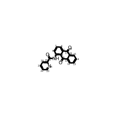 O=C(Nc1cccc2c1C(=O)c1ccccc1C2=O)c1ccccn1